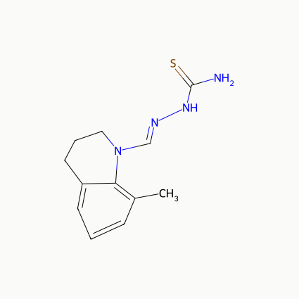 Cc1cccc2c1N(C=NNC(N)=S)CCC2